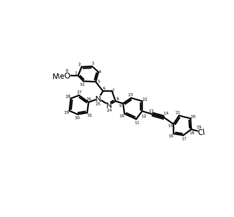 COc1cccc(C2CC(c3ccc(C#Cc4ccc(Cl)cc4)cc3)=NN2c2ccccc2)c1